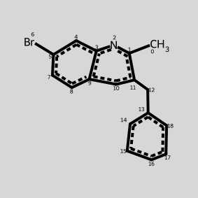 Cc1nc2cc(Br)ccc2cc1Cc1ccccc1